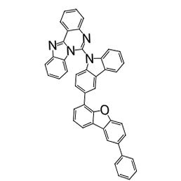 c1ccc(-c2ccc3oc4c(-c5ccc6c(c5)c5ccccc5n6-c5nc6ccccc6c6nc7ccccc7n56)cccc4c3c2)cc1